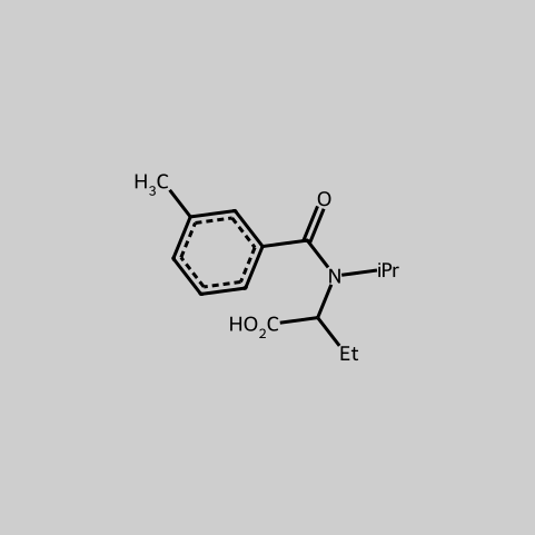 CCC(C(=O)O)N(C(=O)c1cccc(C)c1)C(C)C